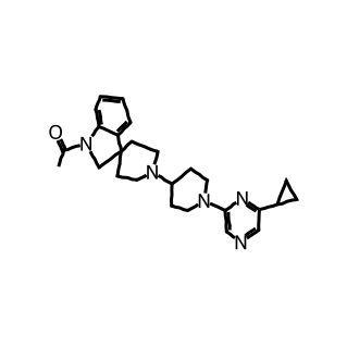 CC(=O)N1CC2(CCN(C3CCN(c4cncc(C5CC5)n4)CC3)CC2)c2ccccc21